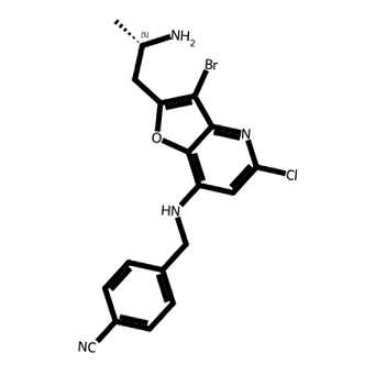 C[C@H](N)Cc1oc2c(NCc3ccc(C#N)cc3)cc(Cl)nc2c1Br